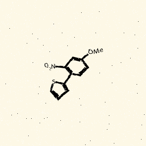 COc1ccc(-c2cccs2)c([N+](=O)[O-])c1